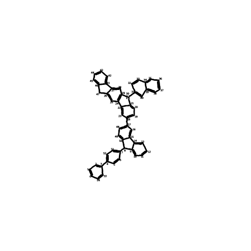 c1ccc(-c2ccc(C3c4ccccc4-c4cc(-c5ccc6c(c5)c5cc7c(cc5n6-c5ccc6ccccc6c5)-c5ccccc5C7)ccc43)cc2)cc1